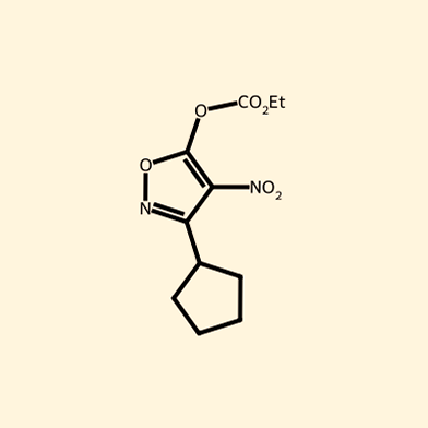 CCOC(=O)Oc1onc(C2CCCC2)c1[N+](=O)[O-]